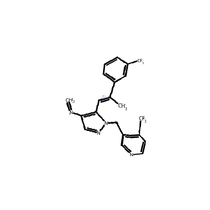 C=Nc1cnn(Cc2cnccc2C(F)(F)F)c1/C=C(\C)c1cccc(C(F)(F)F)c1